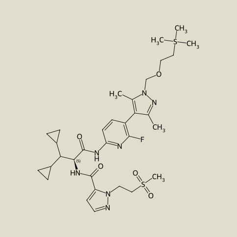 Cc1nn(COCCS(C)(C)C)c(C)c1-c1ccc(NC(=O)[C@@H](NC(=O)c2ccnn2CCS(C)(=O)=O)C(C2CC2)C2CC2)nc1F